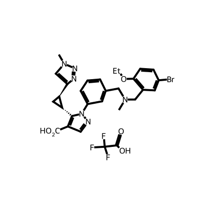 CCOc1ccc(Br)cc1CN(C)Cc1cccc(-n2ncc(C(=O)O)c2[C@@H]2C[C@H]2c2cn(C)nn2)c1.O=C(O)C(F)(F)F